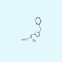 CCOC(=O)/C(C)=C/c1ccc(Cc2cccnc2)s1